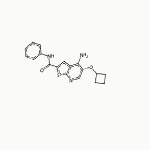 Nc1c(OC2CCC2)cnc2sc(C(=O)Nc3ccccc3)cc12